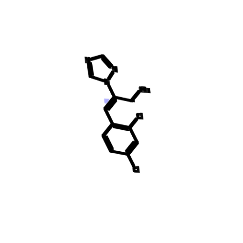 CC(C)(C)[CH]/C(=C\c1ccc(Cl)cc1Cl)n1cncn1